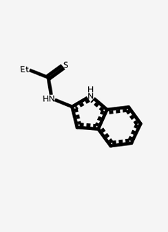 CCC(=S)Nc1cc2ccccc2[nH]1